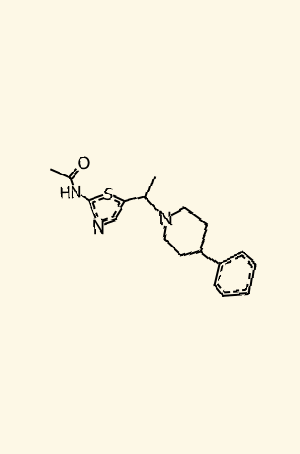 CC(=O)Nc1ncc(C(C)N2CCC(c3ccccc3)CC2)s1